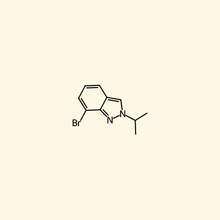 CC(C)n1cc2cccc(Br)c2n1